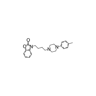 Cc1ccc(N2CCN(CCCCn3c(=O)oc4ccccc43)CC2)cc1